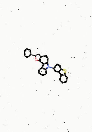 c1ccc(C2Cc3ccc4c(c3O2)c2ccccc2n4-c2ccc3sc4ccccc4c3c2)cc1